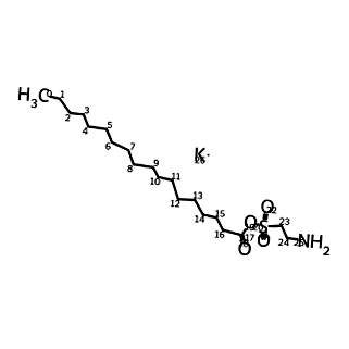 CCCCCCCCCCCCCCCCCC(=O)OS(=O)(=O)CCN.[K]